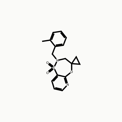 Cc1ccccc1CN1CC2(CC2)Oc2ncccc2S1(=O)=O